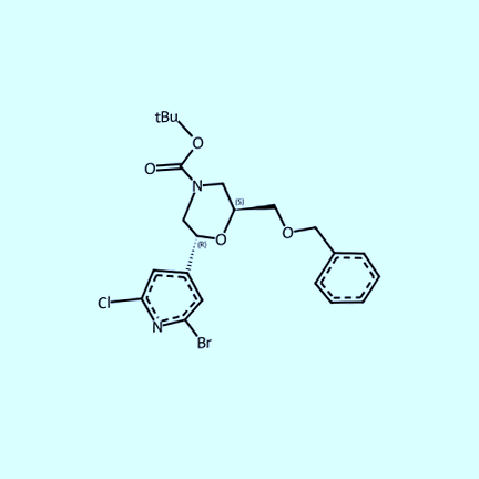 CC(C)(C)OC(=O)N1C[C@@H](COCc2ccccc2)O[C@H](c2cc(Cl)nc(Br)c2)C1